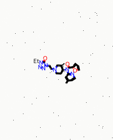 CCn1nnn(CCN2CC[C@H](N(C(=O)c3ccco3)c3cc(C)ccn3)[C@H](C)C2)c1=O